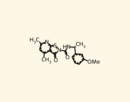 COc1cccc([C@H](C)NC(=O)n2sc3nc(C)cc(C)c3c2=O)c1